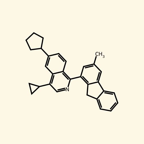 Cc1cc2c(c(-c3ncc(C4CC4)c4cc(C5CCCC5)ccc34)c1)Cc1ccccc1-2